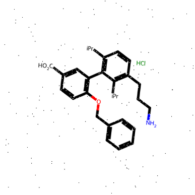 CC(C)c1ccc(CCCN)c(C(C)C)c1-c1cc(C(=O)O)ccc1OCc1ccccc1.Cl